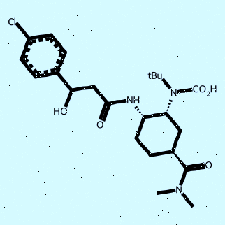 CN(C)C(=O)[C@H]1CC[C@H](NC(=O)CC(O)c2ccc(Cl)cc2)[C@H](N(C(=O)O)C(C)(C)C)C1